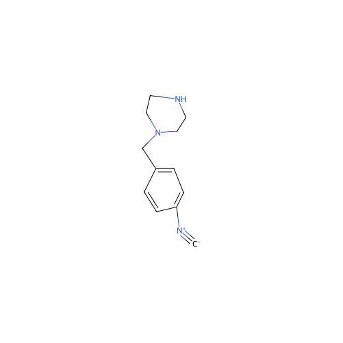 [C-]#[N+]c1ccc(CN2CCNCC2)cc1